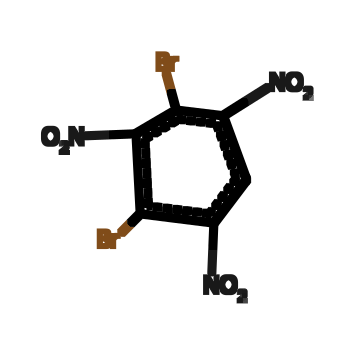 O=[N+]([O-])c1cc([N+](=O)[O-])c(Br)c([N+](=O)[O-])c1Br